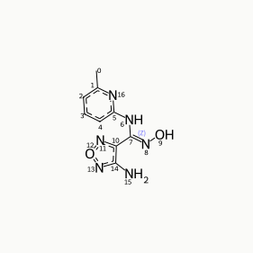 Cc1cccc(N/C(=N\O)c2nonc2N)n1